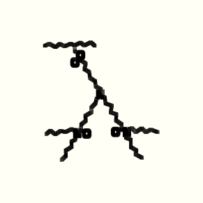 CCCCCCC(CCCC)COC(=O)CCCCCCCN(CCCCCCCC(=O)N(CCCCCC)CCCCCC)CCCCCCCC(=O)N(CCCCCC)CCCCCC